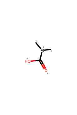 [CH3][Al]([CH3])[C](=O)O